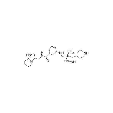 CN1C(CNc2cccc(C(=O)NCC3CNC4CCCCN34)c2)NNC1C1CCNCC1